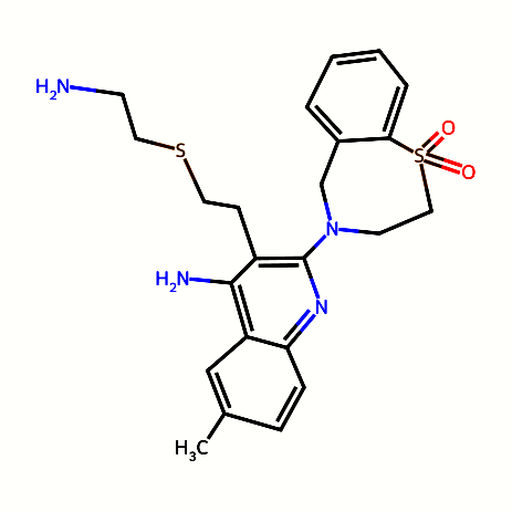 Cc1ccc2nc(N3CCS(=O)(=O)c4ccccc4C3)c(CCSCCN)c(N)c2c1